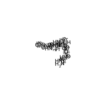 CC(C)C[C@H](NC(=O)CNC(=O)CN1CCOCC1)C(=O)NCC(=O)N[C@@H](CC(C)C)C(=O)C(C)(O)COS(=O)(=O)c1ccc(C(=O)NC/C(=C/N)N=N)cc1